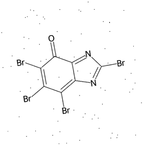 O=C1C2=NC(Br)=NC2=C(Br)C(Br)=C1Br